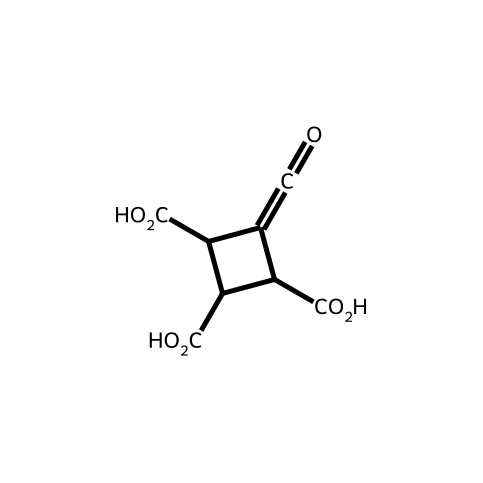 O=C=C1C(C(=O)O)C(C(=O)O)C1C(=O)O